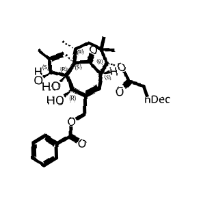 CCCCCCCCCCCC(=O)O[C@@H]1[C@@H]2C=C(COC(=O)c3ccccc3)[C@@H](O)[C@]3(O)[C@@H](O)C(C)=C[C@@]3(C2=O)[C@H](C)CC1(C)C